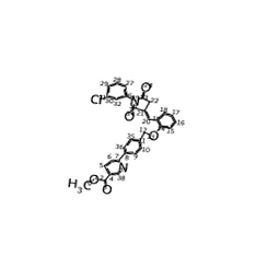 COC(=O)c1ccc(-c2ccc(COc3ccccc3/C=C3\CC(=O)N(c4cccc(Cl)c4)C3=O)cc2)nc1